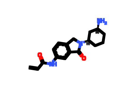 C=CC(=O)Nc1ccc2c(c1)C(=O)N([C@H]1CCC[C@@H](N)C1)C2